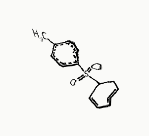 Cc1ccc(S(=O)(=O)C2C=CC=CC2)cc1